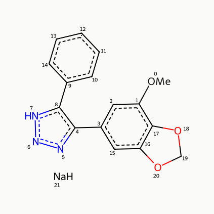 COc1cc(-c2nn[nH]c2-c2cc[c]cc2)cc2c1OCO2.[NaH]